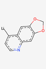 [Li][c]1ccnc2cc3c(cc12)OCO3